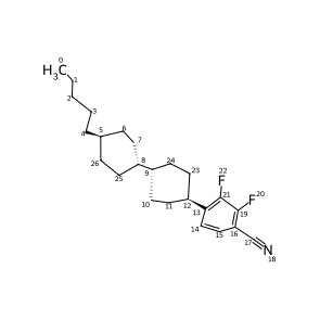 CCCCC[C@H]1CC[C@H]([C@H]2CC[C@H](c3ccc(C#N)c(F)c3F)CC2)CC1